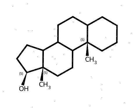 C[C@]12CCCCC1CCC1C2CC[C@@]2(C)C1CC[C@@H]2O